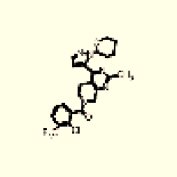 Cc1nc2c(c(-c3ccnn3C3CCCCO3)n1)CCN(C(=O)c1cccc(C(F)(F)F)c1Cl)C2